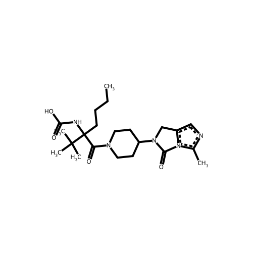 CCCCC(NC(=O)O)(C(=O)N1CCC(N2Cc3cnc(C)n3C2=O)CC1)C(C)(C)C